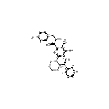 CN(Cc1ccc(F)cc1)C(=O)c1nc(C2CCCCN2C(=O)c2ccccn2)[nH]c(=O)c1O